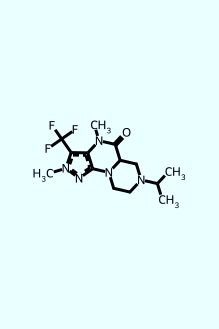 CC(C)N1CCN2c3nn(C)c(C(F)(F)F)c3N(C)C(=O)C2C1